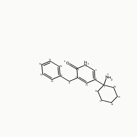 NC1(c2c[nH]c(=O)c(Cc3ccccc3)c2)CCCCC1